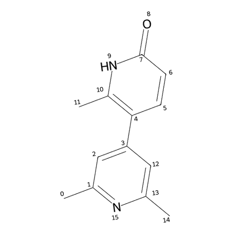 Cc1cc(-c2ccc(=O)[nH]c2C)cc(C)n1